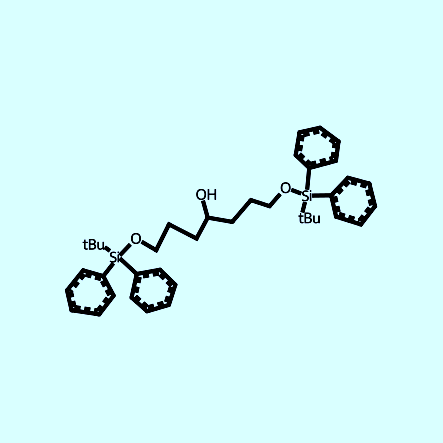 CC(C)(C)[Si](OCCCC(O)CCCO[Si](c1ccccc1)(c1ccccc1)C(C)(C)C)(c1ccccc1)c1ccccc1